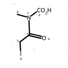 CN(C(=O)O)C(=O)CI